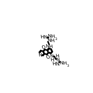 N=C(N)NCCNc1ccc(NCCNC(=N)N)c2c1C(=O)c1ccncc1C2=O